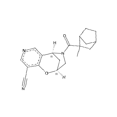 CC1(C(=O)N2C[C@@H]3C[C@H]2c2cncc(C#N)c2O3)CC2CCC1C2